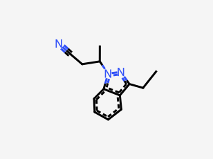 CCc1nn(C(C)CC#N)c2ccccc12